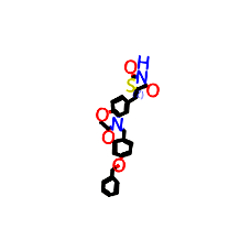 O=C1NC(=O)/C(=C/c2ccc3c(c2)N(Cc2ccc(OCc4ccccc4)cc2)C(=O)CO3)S1